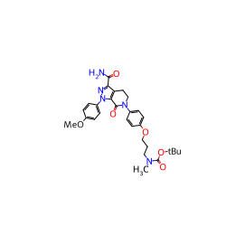 COc1ccc(-n2nc(C(N)=O)c3c2C(=O)N(c2ccc(OCCCN(C)C(=O)OC(C)(C)C)cc2)CC3)cc1